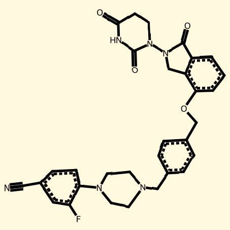 N#Cc1ccc(N2CCN(Cc3ccc(COc4cccc5c4CN(N4CCC(=O)NC4=O)C5=O)cc3)CC2)c(F)c1